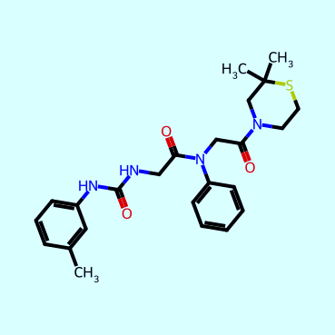 Cc1cccc(NC(=O)NCC(=O)N(CC(=O)N2CCSC(C)(C)C2)c2ccccc2)c1